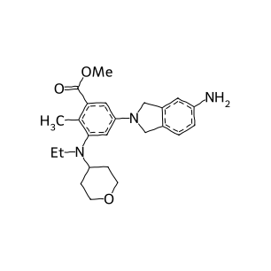 CCN(c1cc(N2Cc3ccc(N)cc3C2)cc(C(=O)OC)c1C)C1CCOCC1